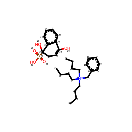 CCCC[N+](CCCC)(CCCC)Cc1ccccc1.O=S(=O)(O)C1(O)CC=C(O)c2ccccc21